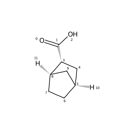 O=C(O)[C@@H]1C[C@H]2CC[C@@H]1C2